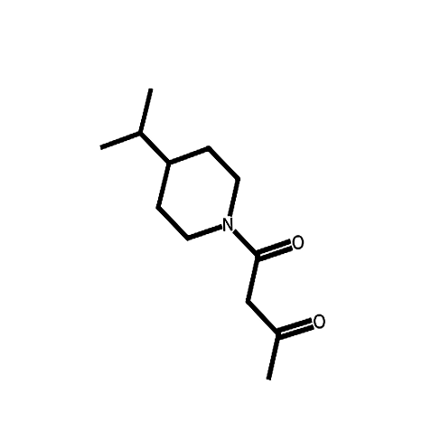 CC(=O)CC(=O)N1CCC(C(C)C)CC1